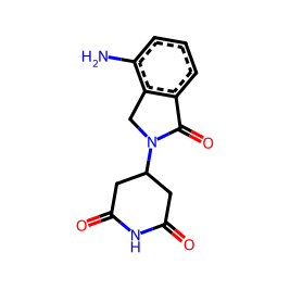 Nc1cccc2c1CN(C1CC(=O)NC(=O)C1)C2=O